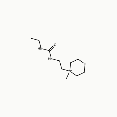 CCNC(=O)NCC[N+]1(C)CCOCC1